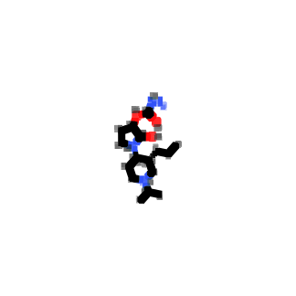 CCC[C@@H]1CN(C(C)C)CC[C@@H]1N1CCC(OC(N)=O)C1=O